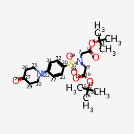 CC(C)(C)OC(=O)CN(CC(=O)OC(C)(C)C)S(=O)(=O)c1ccc(N2CCC(=O)CC2)cc1